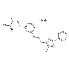 Cc1oc(-c2ccccc2)nc1CCOc1cccc(CSC(C)C(=O)O)c1.[NaH]